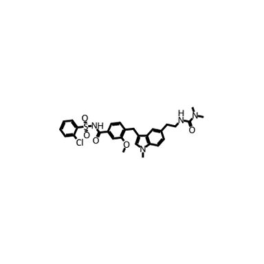 COc1cc(C(=O)NS(=O)(=O)c2ccccc2Cl)ccc1Cc1cn(C)c2ccc(CCNC(=O)N(C)C)cc12